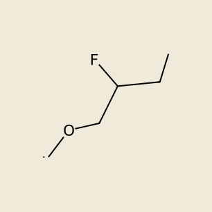 [CH2]OCC(F)CC